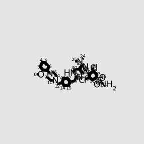 COc1ccccc1N1CCN(Cc2ccc(CC3=Nc4c(c(N(C)C)nn4-c4c(Cl)cc(S(N)(=O)=O)cc4Cl)CN3)cc2)CC1